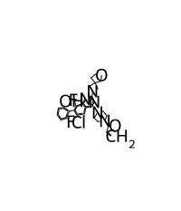 C=CC(=O)N1CCN(c2nc(N3CC4(CCOC4)C3)nc3c(F)c(-c4c(O)cccc4F)c(Cl)cc23)CC1